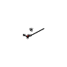 CCCCCCCCCCCCCCCCCCOCC(CS(=O)(=O)CCCC[N+](C)(C)C)OC.CS(=O)(=O)[O-]